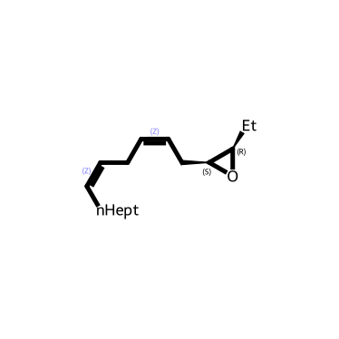 CCCCCCC/C=C\C/C=C\C[C@@H]1O[C@@H]1CC